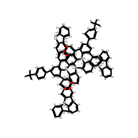 CC(C)(C)c1ccc(-c2cc(-c3ccccc3)c(N3c4cc(-c5ccc6c(c5)c5cccc7c8ccccc8n6c75)ccc4B4c5ccc(-n6c7ccccc7c7ccccc76)cc5N(c5c(-c6ccccc6)cc(-c6ccc(C(C)(C)C)cc6)cc5-c5ccccc5)c5cc(-c6ccc7oc8ccccc8c7c6)cc3c54)c(-c3ccccc3)c2)cc1